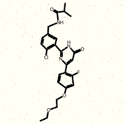 CCOCCOc1ccc(-c2cc(=O)[nH]c(-c3cc(CNC(=O)C(C)C)ccc3Cl)n2)c(F)c1